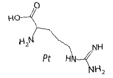 N=C(N)NCCCC(N)C(=O)O.[Pt]